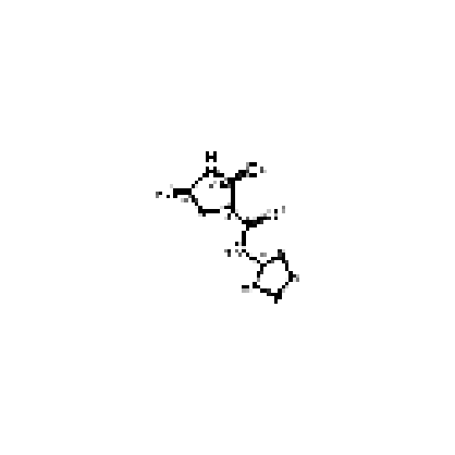 O=C1CC(C(=O)OC2CCCC2)C(=O)N1